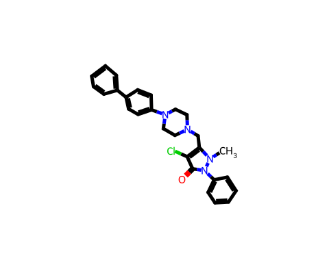 Cn1c(CN2CCN(c3ccc(-c4ccccc4)cc3)CC2)c(Cl)c(=O)n1-c1ccccc1